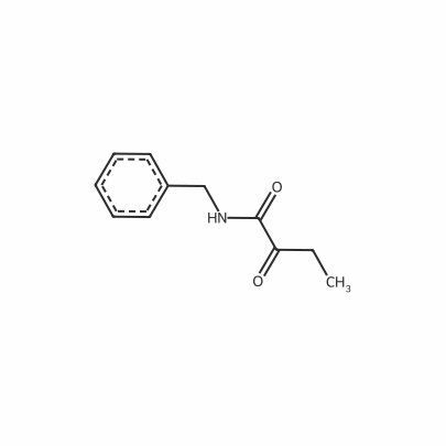 CCC(=O)C(=O)NCc1ccccc1